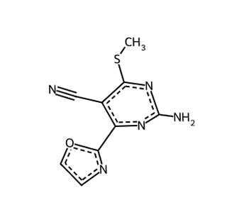 CSc1nc(N)nc(-c2ncco2)c1C#N